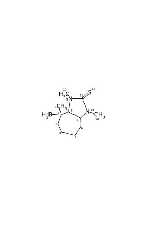 BC1(C)CCCCC2C1N(C)C(=S)N2C